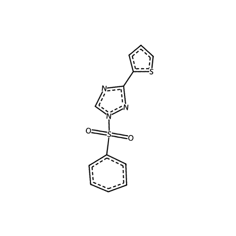 O=S(=O)(c1ccccc1)n1cnc(-c2cccs2)n1